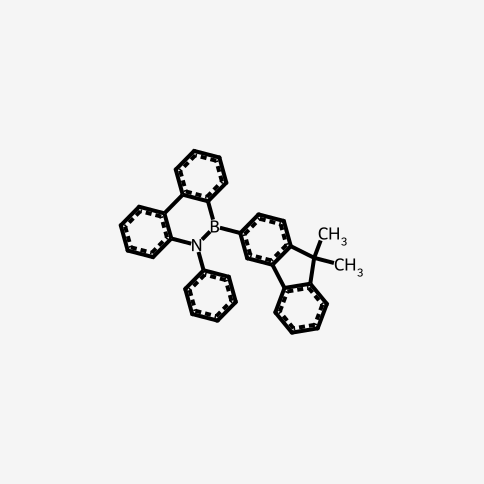 CC1(C)c2ccccc2-c2cc(B3c4ccccc4-c4ccccc4N3c3ccccc3)ccc21